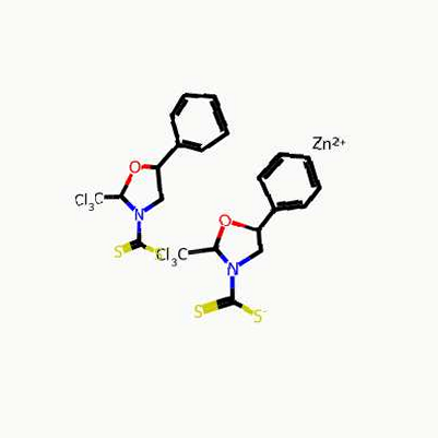 S=C([S-])N1CC(c2ccccc2)OC1C(Cl)(Cl)Cl.S=C([S-])N1CC(c2ccccc2)OC1C(Cl)(Cl)Cl.[Zn+2]